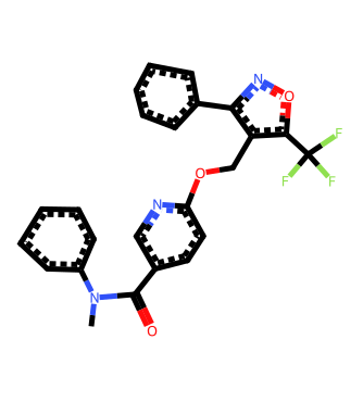 CN(C(=O)c1ccc(OCc2c(-c3ccccc3)noc2C(F)(F)F)nc1)c1ccccc1